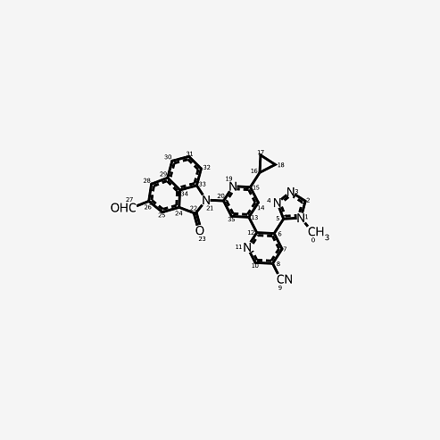 Cn1cnnc1-c1cc(C#N)cnc1-c1cc(C2CC2)nc(N2C(=O)c3cc(C=O)cc4cccc2c34)c1